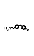 NCCc1ccc(Cc2ccc(Br)cc2)cc1